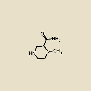 CN1CCNCC1C(N)=O